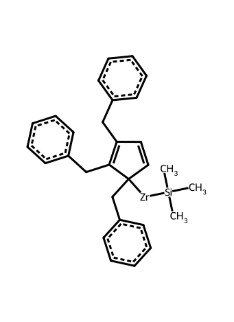 C[Si](C)(C)[Zr][C]1(Cc2ccccc2)C=CC(Cc2ccccc2)=C1Cc1ccccc1